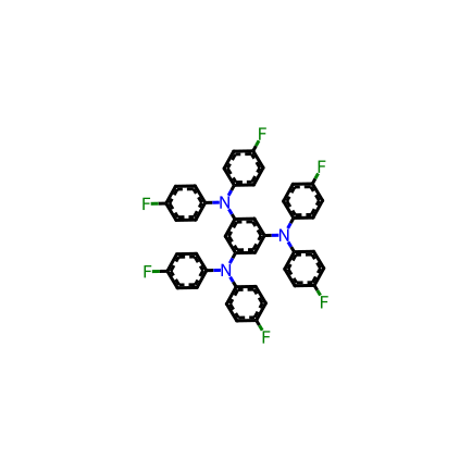 Fc1ccc(N(c2ccc(F)cc2)c2cc(N(c3ccc(F)cc3)c3ccc(F)cc3)cc(N(c3ccc(F)cc3)c3ccc(F)cc3)c2)cc1